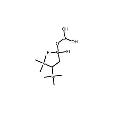 CC[Si](CC)(CC([Si](C)(C)C)[Si](C)(C)C)OB(O)O